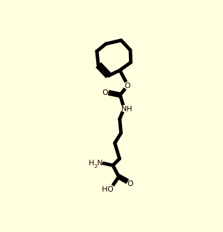 NC(CCCCNC(=O)OC1C#CCCCCC1)C(=O)O